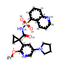 CC(C)Oc1ncc(N2CCCC2)cc1C1(C(=O)NS(=O)(=O)c2cccc3ncccc23)CC1